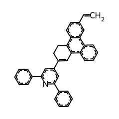 C=Cc1ccc2c3c(c4ccccc4c2c1)C=C(c1cc(-c2ccccc2)nc(-c2ccccc2)c1)CC3